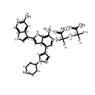 Nc1ncc(-c2cnn(C3CCNCC3)c2)c2cc(-c3csc4cnc(O)cc34)oc12.O=C(O)C(F)(F)F.O=C(O)C(F)(F)F